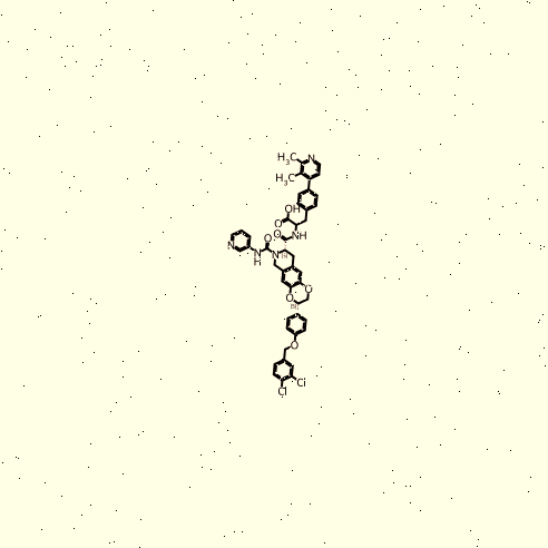 Cc1nccc(-c2ccc(CC(NC(=O)[C@@H]3Cc4cc5c(cc4CN3C(=O)Nc3cccnc3)O[C@@H](c3ccc(OCc4ccc(Cl)c(Cl)c4)cc3)CO5)C(=O)O)cc2)c1C